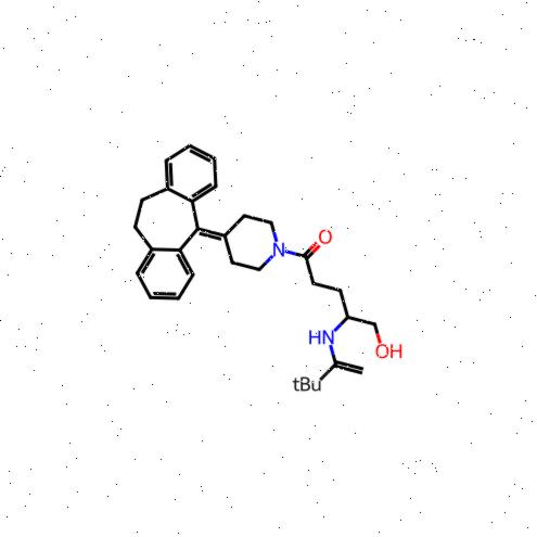 C=C(NC(CO)CCC(=O)N1CCC(=C2c3ccccc3CCc3ccccc32)CC1)C(C)(C)C